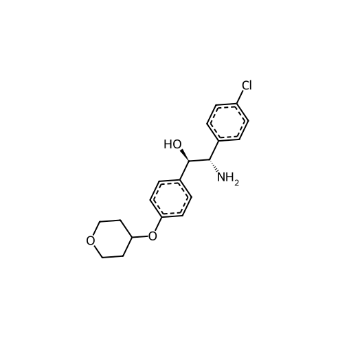 N[C@@H](c1ccc(Cl)cc1)[C@H](O)c1ccc(OC2CCOCC2)cc1